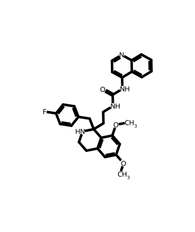 COc1cc2c(c(OC)c1)C(CCNC(=O)Nc1ccnc3ccccc13)(Cc1ccc(F)cc1)NCC2